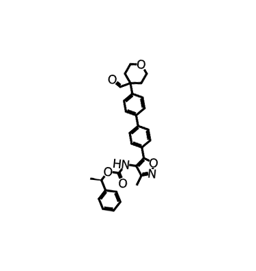 Cc1noc(-c2ccc(-c3ccc(C4(C=O)CCOCC4)cc3)cc2)c1NC(=O)O[C@H](C)c1ccccc1